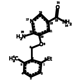 CCc1cccc(C)c1COc1cc(C(N)=O)cnc1N